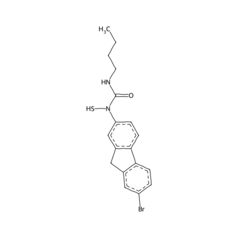 CCCCNC(=O)N(S)c1ccc2c(c1)Cc1cc(Br)ccc1-2